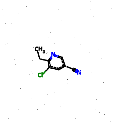 CCc1ncc(C#N)cc1Cl